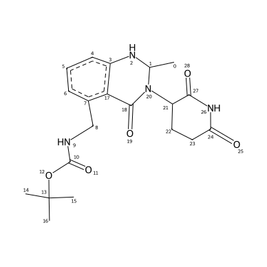 CC1Nc2cccc(CNC(=O)OC(C)(C)C)c2C(=O)N1C1CCC(=O)NC1=O